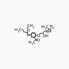 CCC/C(=N/c1ccc(OCC(O)CNC(C)C)c(C(C)=O)c1)OCC